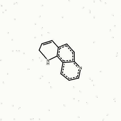 C1=Cc2ccc3ncccc3c2NC1